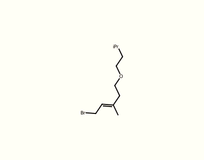 CC(=CCBr)CCOCCC(C)C